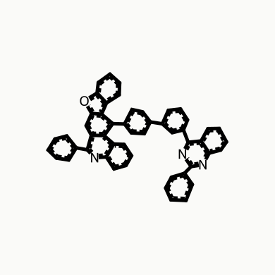 c1ccc(-c2nc(-c3cccc(-c4ccc(-c5c6c(cc7c(-c8ccccc8)nc8ccccc8c57)oc5ccccc56)cc4)c3)c3ccccc3n2)cc1